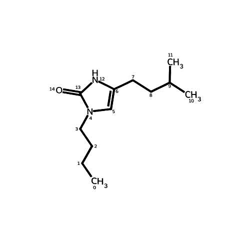 CCCCn1cc(CCC(C)C)[nH]c1=O